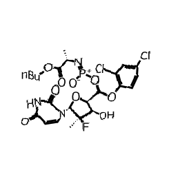 CCCCOC(=O)[C@H](C)/N=[P+](\[O-])OC(Oc1ccc(Cl)cc1Cl)[C@@H]1O[C@@H](n2ccc(=O)[nH]c2=O)[C@](C)(F)[C@@H]1O